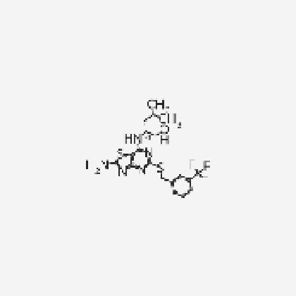 CC(C)C[C@H](CO)Nc1nc(SCc2cccc(C(F)(F)F)c2)nc2nc(N)sc12